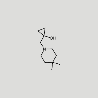 CC1(C)CCN(CC2(O)CC2)CC1